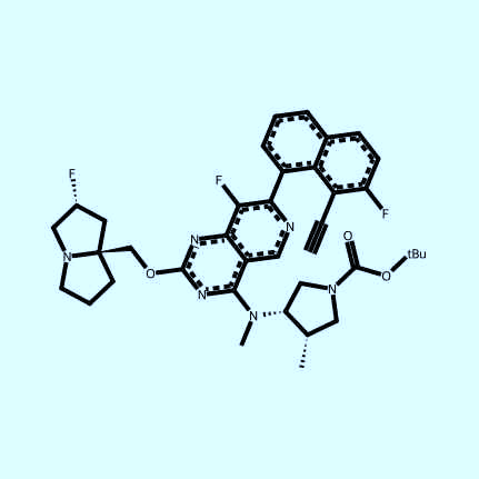 C#Cc1c(F)ccc2cccc(-c3ncc4c(N(C)[C@@H]5CN(C(=O)OC(C)(C)C)C[C@@H]5C)nc(OC[C@@]56CCCN5C[C@H](F)C6)nc4c3F)c12